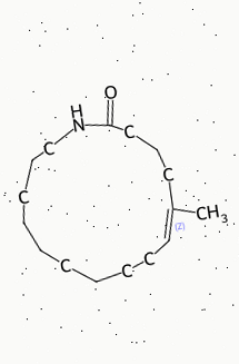 C/C1=C/CCCCCCCCCNC(=O)CCC1